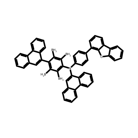 Bc1c(B)c(N(c2ccc(-c3cccc4c3oc3ccccc34)cc2)c2cc3ccccc3c3ccccc23)c(B)c(B)c1-c1cc2ccccc2c2ccccc12